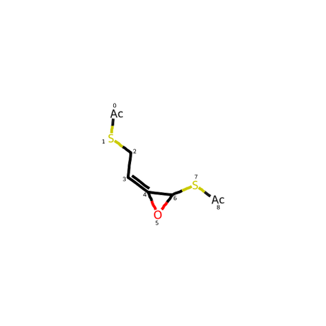 CC(=O)SCC=C1OC1SC(C)=O